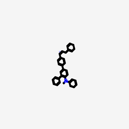 CN(C1=CC=CCC1)c1ccc(-c2ccc(/C=C\CC3=CCCC=C3)cc2)cc1-c1ccccc1